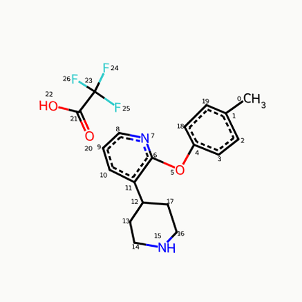 Cc1ccc(Oc2ncccc2C2CCNCC2)cc1.O=C(O)C(F)(F)F